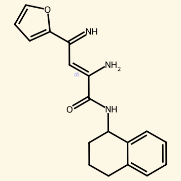 N=C(/C=C(\N)C(=O)NC1CCCc2ccccc21)c1ccco1